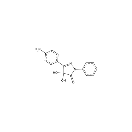 O=C1N(c2ccccc2)N=C(c2ccc([N+](=O)[O-])cc2)C1(O)O